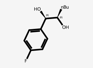 CCCC[C@@H](O)[C@H](O)c1ccc(F)cc1